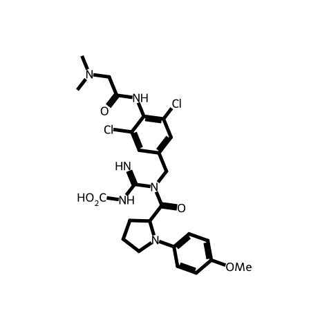 COc1ccc(N2CCCC2C(=O)N(Cc2cc(Cl)c(NC(=O)CN(C)C)c(Cl)c2)C(=N)NC(=O)O)cc1